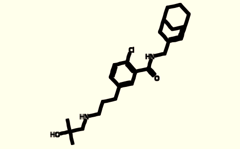 CC(C)(O)CNCCCc1ccc(Cl)c(C(=O)NCC2=C=C3CCCC(C3)C2)c1